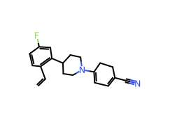 C=Cc1ccc(F)cc1C1CCN(C2=CC=C(C#N)CC2)CC1